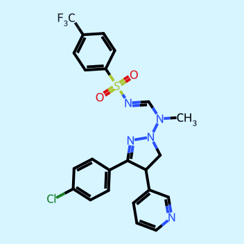 CN(C=NS(=O)(=O)c1ccc(C(F)(F)F)cc1)N1CC(c2cccnc2)C(c2ccc(Cl)cc2)=N1